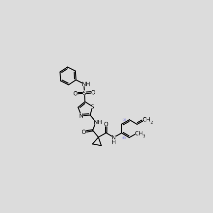 C=C/C=C\C(=C/C)NC(=O)C1(C(=O)Nc2ncc(S(=O)(=O)Nc3ccccc3)s2)CC1